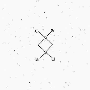 Cl[Si]1(Br)C[Si](Cl)(Br)C1